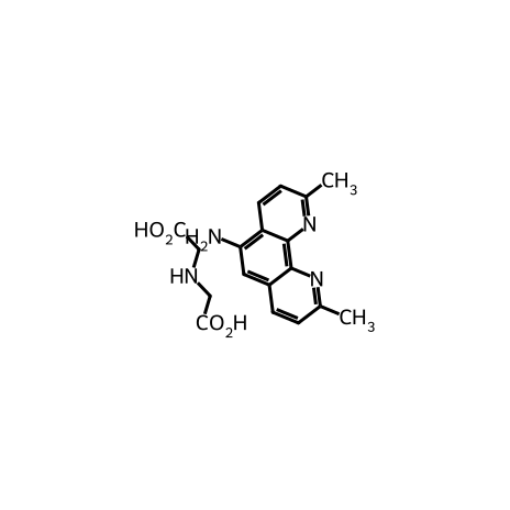 Cc1ccc2cc(N)c3ccc(C)nc3c2n1.O=C(O)CNCC(=O)O